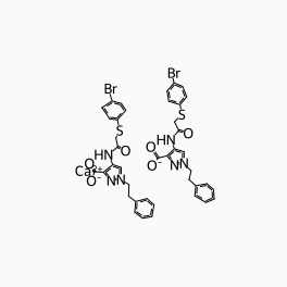 O=C(CSc1ccc(Br)cc1)Nc1cn(CCc2ccccc2)nc1C(=O)[O-].O=C(CSc1ccc(Br)cc1)Nc1cn(CCc2ccccc2)nc1C(=O)[O-].[Ca+2]